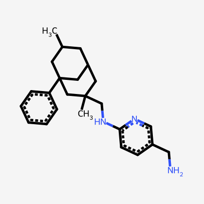 CC1CC2CC(C)(CNc3ccc(CN)cn3)CC(c3ccccc3)(C1)C2